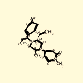 CCC(c1ccc(Br)cc1)N1C[C@H](C)N(c2ccn(C)c(=O)c2)C[C@H]1CC